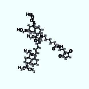 CN(C)c1ccc2c3c(cccc13)C(/C=C/C=C/C=C1/N(CCCCCC(=O)NCCN3C(=O)C=CC3=O)c3ccc4c(SOOO)cc(S(=O)(=O)O)cc4c3C1(C)C)=[N+]2C